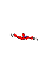 C=CC(=O)OCCCCCCOc1ccc(C(=O)Oc2ccc3c(c2)C(=NNc2nc4ccccc4s2)c2cc(OC(=O)c4ccc(OCCCCCCOC(=O)C=C)cc4)ccc2-3)cc1